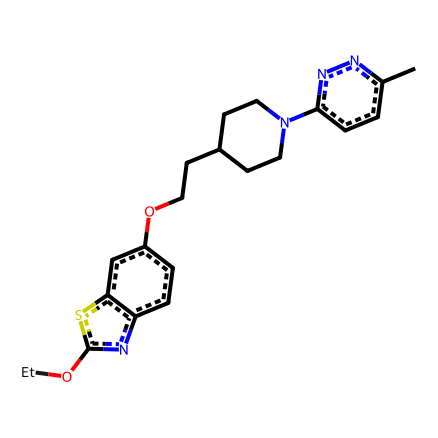 CCOc1nc2ccc(OCCC3CCN(c4ccc(C)nn4)CC3)cc2s1